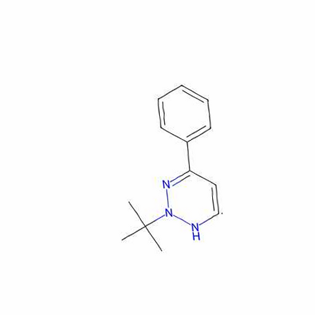 CC(C)(C)N1N=C(c2ccccc2)C=[C]N1